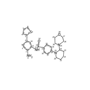 Nc1ccc(-c2cccs2)cc1NC(=O)c1ccc(N2CCCCC2N2CCOCC2)cc1